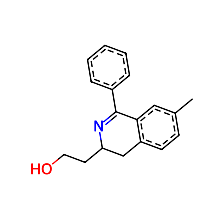 Cc1ccc2c(c1)C(c1ccccc1)=NC(CCO)C2